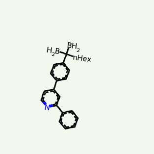 BC(B)(CCCCCC)c1ccc(-c2ccnc(-c3ccccc3)c2)cc1